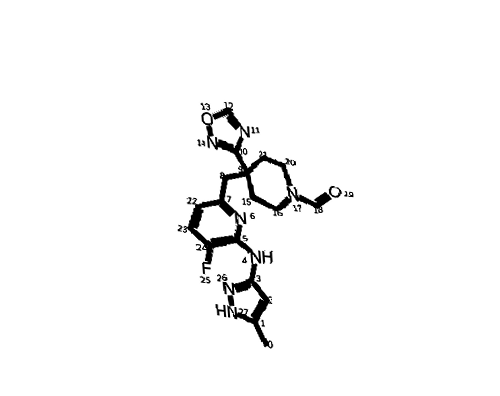 Cc1cc(Nc2nc(CC3(c4ncon4)CCN(C=O)CC3)ccc2F)n[nH]1